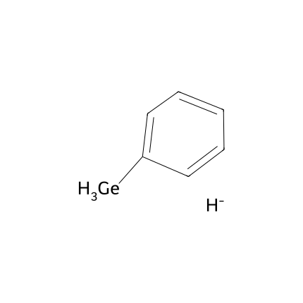 [GeH3][c]1ccccc1.[H-]